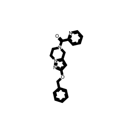 O=C(c1ccccn1)N1CCn2nc(OCc3ccccc3)cc2C1